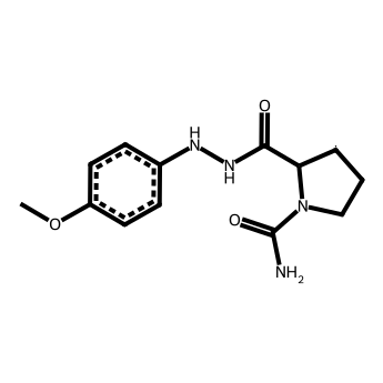 COc1ccc(NNC(=O)C2[CH]CCN2C(N)=O)cc1